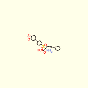 NC(CC#Cc1ccccc1)(C(=O)O)S(=O)(=O)c1ccc(-c2ccc3c(c2)OCO3)cc1